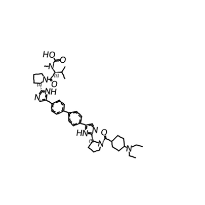 CCN(CC)C1CCC(C(=O)N2CCC[C@H]2c2ncc(-c3ccc(-c4ccc(-c5cnc([C@@H]6CCCN6C(=O)[C@H](C(C)C)N(C)C(=O)O)[nH]5)cc4)cc3)[nH]2)CC1